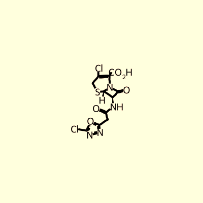 O=C(Cc1nnc(Cl)o1)N[C@@H]1C(=O)N2C(C(=O)O)=C(Cl)CS[C@@H]12